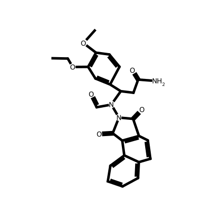 CCOc1cc(C(CC(N)=O)N(C=O)N2C(=O)c3ccc4ccccc4c3C2=O)ccc1OC